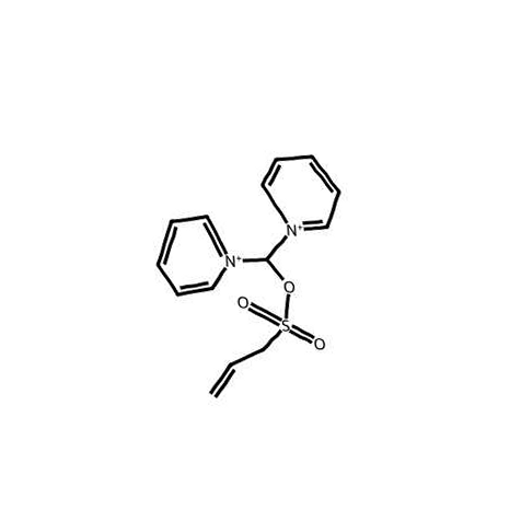 C=CCS(=O)(=O)OC([n+]1ccccc1)[n+]1ccccc1